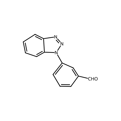 O=Cc1cccc(-n2nnc3ccccc32)c1